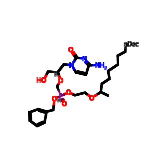 CCCCCCCCCCCCCCCCC(C)OCCO[P@@](=O)(CO[C@@H](CO)Cn1ccc(N)nc1=O)OCc1ccccc1